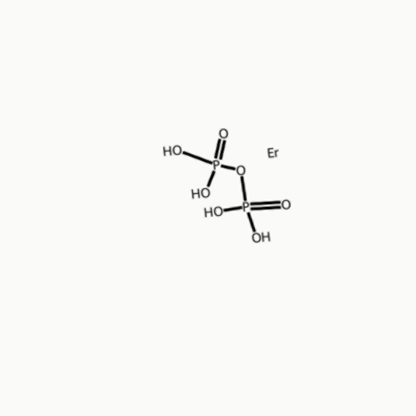 O=P(O)(O)OP(=O)(O)O.[Er]